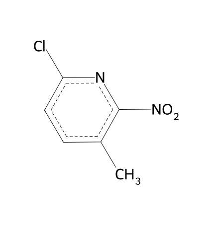 Cc1ccc(Cl)nc1[N+](=O)[O-]